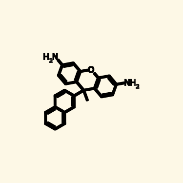 CC1(c2ccc3ccccc3c2)c2ccc(N)cc2Oc2cc(N)ccc21